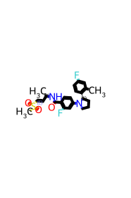 Cc1cc(F)ccc1[C@@H]1CCCN1c1ccc(C(=O)N[C@H](C)/C=C/S(C)(=O)=O)c(F)c1